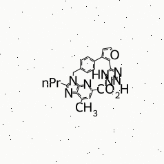 CCCc1nc2c(C)cc(C(=O)O)nc2n1Cc1ccc(-c2ccoc2-c2nnn[nH]2)cc1